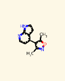 Cc1noc(C)c1-c1ccnc2[nH]ccc12